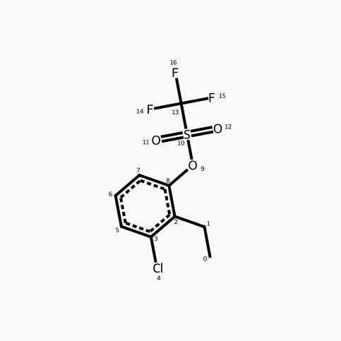 CCc1c(Cl)cccc1OS(=O)(=O)C(F)(F)F